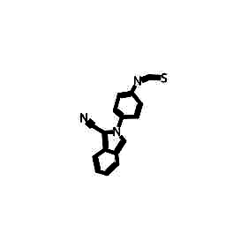 N#Cc1c2ccccc2cn1-c1ccc(N=C=S)cc1